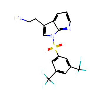 NCCc1cn(S(=O)(=O)c2cc(C(F)(F)F)cc(C(F)(F)F)c2)c2ncccc12